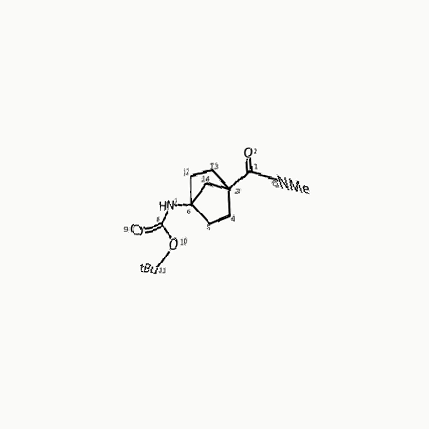 CNC(=O)C12CCC(NC(=O)OC(C)(C)C)(CC1)C2